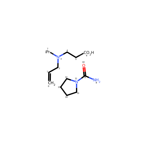 C=CCN(CCC(=O)O)C(C)C.NC(=O)N1CCCC1